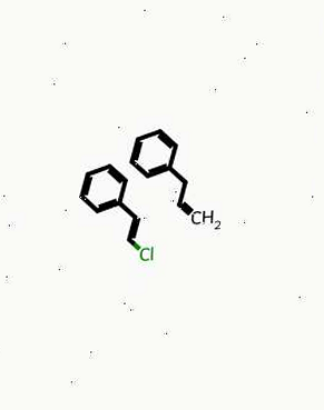 C=CCc1ccccc1.ClC=Cc1ccccc1